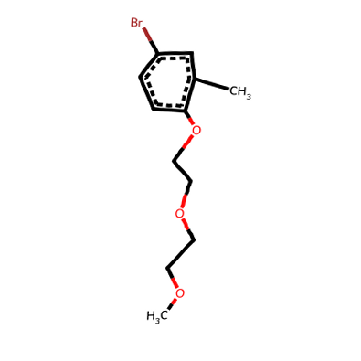 COCCOCCOc1ccc(Br)cc1C